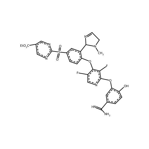 CCOC(=O)c1cnc(S(=O)(=O)c2ccc(Oc3c(F)cnc(Oc4cc(C(=N)N)ccc4O)c3F)c(C3N=CCN3C)c2)nc1